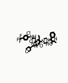 CCc1c(N2CCN(c3c(O)c(C)nc4ccccc34)CC2)c(=O)n2nc(C3=CCOCC3)nc2n1CC(=O)Nc1ccc(C(F)(F)F)cc1Cl